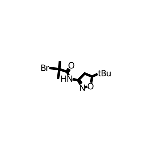 CC(C)(Br)C(=O)NC1=NOC(C(C)(C)C)C1